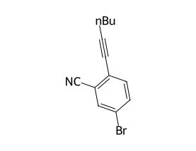 CCCCC#Cc1ccc(Br)cc1C#N